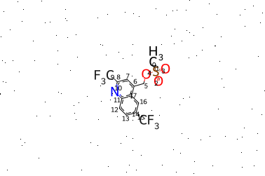 CS(=O)(=O)OCc1cc(C(F)(F)F)nc2ccc(C(F)(F)F)cc12